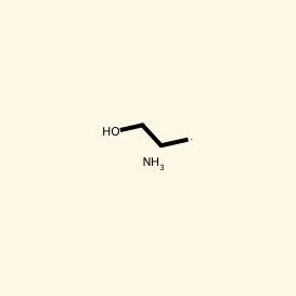 N.[CH2]CCO